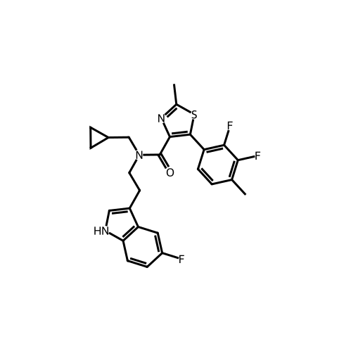 Cc1nc(C(=O)N(CCc2c[nH]c3ccc(F)cc23)CC2CC2)c(-c2ccc(C)c(F)c2F)s1